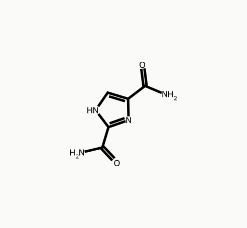 NC(=O)c1c[nH]c(C(N)=O)n1